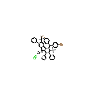 CC(C)(C)c1cc2c(cc1-c1ccccc1)=[C]([Zr+2])c1c(C3=CC=CC3)c(-c3ccccc3)c(C(C)(C)C)c(=C(c3ccc(Br)cc3)c3ccc(Br)cc3)c1=2.[Cl-].[Cl-]